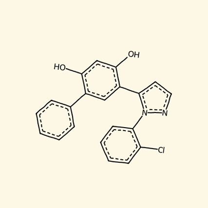 Oc1cc(O)c(-c2ccnn2-c2ccccc2Cl)cc1-c1ccccc1